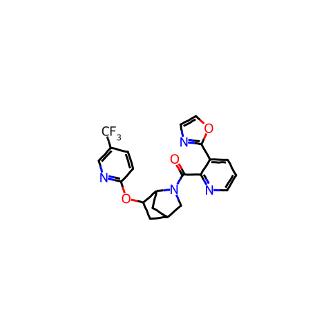 O=C(c1ncccc1-c1ncco1)N1CC2CC(Oc3ccc(C(F)(F)F)cn3)C1C2